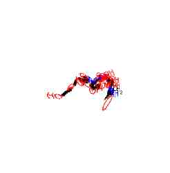 C=C1NC(=O)C=CN1C1OC(COP(=O)(O)OP(=O)(O)O[C@H]2OC(CO)[C@H](O)[C@H](O)C2NC(=O)CCOCCOCCCO)C(O)C1O